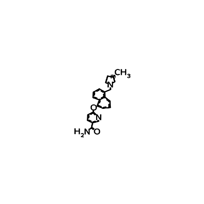 C[C@@H]1CCN(Cc2cccc3c(Oc4ccc(C(N)=O)cn4)cccc23)C1